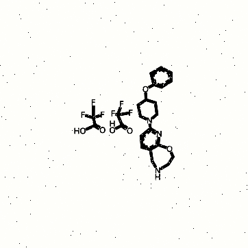 O=C(O)C(F)(F)F.O=C(O)C(F)(F)F.c1ccc(OC2CCN(c3ccc4c(n3)OCCNC4)CC2)cc1